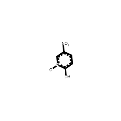 O=[N+]([O-])c1ccc(O)[n+]([O-])c1